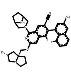 N#Cc1cc2c(N3CC4CCC(C3)N4)nc(OC[C@@]34CCCN3C[C@H](F)C4)cc2c(F)c1-c1cc(O)cc2cccc(F)c12